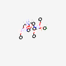 CN[C@@H](C[C@@H](O)CNC(=O)OCc1ccccc1)C(=O)N[C@@H](Cc1cc(-c2ccc(OCc3ccccc3)c(C[C@H](NC(=O)OCc3ccccc3)C(=O)Oc3c(F)c(F)c(F)c(F)c3F)c2)ccc1[N+](=O)[O-])C(=O)OCc1ccccc1